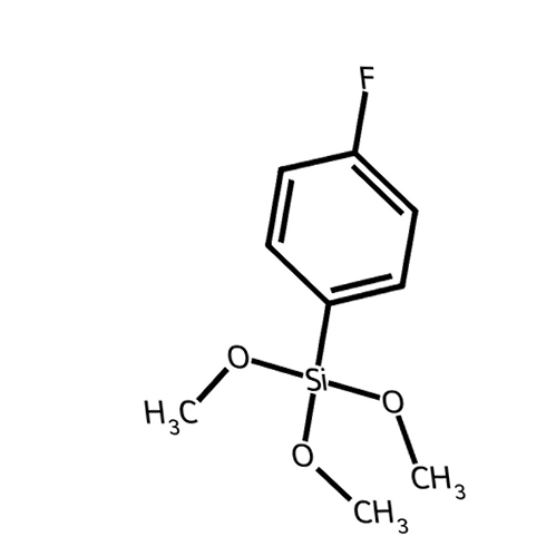 CO[Si](OC)(OC)c1ccc(F)cc1